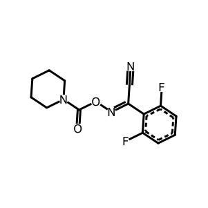 N#C/C(=N\OC(=O)N1CCCCC1)c1c(F)cccc1F